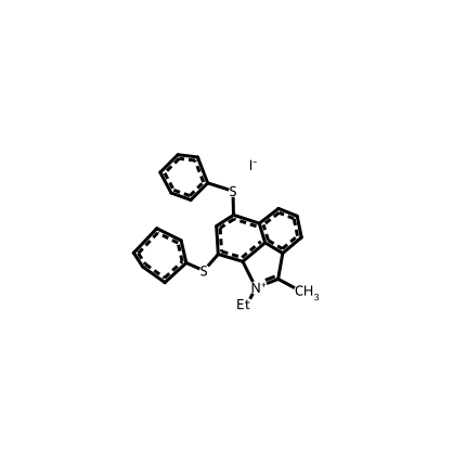 CC[N+]1=C(C)c2cccc3c(Sc4ccccc4)cc(Sc4ccccc4)c1c23.[I-]